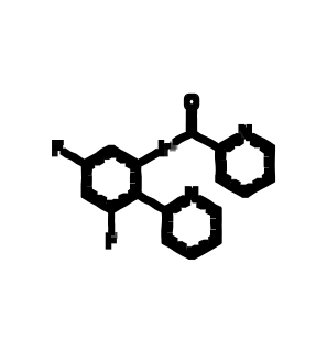 O=[C]([Ir+][c]1cc(F)cc(F)c1-c1ccccn1)c1ccccn1